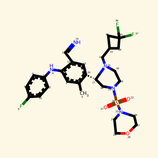 Cc1cc(Nc2ccc(F)cc2)c(C=N)cc1[C@H]1CN(S(=O)(=O)N2CCOCC2)CCN1CC1CC(F)(F)C1